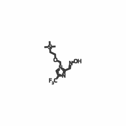 C[Si](C)(C)CCOCn1cc(C(F)(F)F)nc1/C=N/O